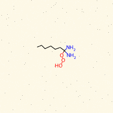 CCCCCCC(N)(N)OOO